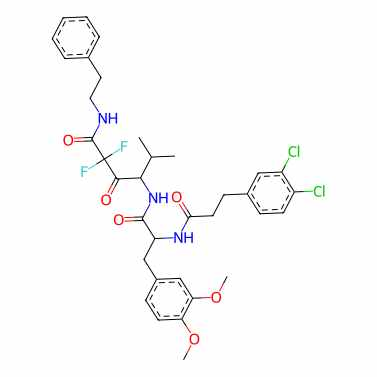 COc1ccc(CC(NC(=O)CCc2ccc(Cl)c(Cl)c2)C(=O)NC(C(=O)C(F)(F)C(=O)NCCc2ccccc2)C(C)C)cc1OC